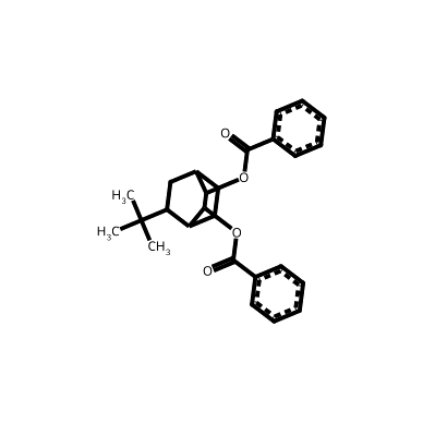 CC(C)(C)C1CC2CCC1C(OC(=O)c1ccccc1)C2OC(=O)c1ccccc1